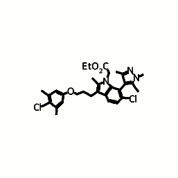 CCOC(=O)Cn1c(C)c(CCCOc2cc(C)c(Cl)c(C)c2)c2ccc(Cl)c(-c3c(C)nn(C)c3C)c21